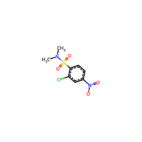 CN(C)S(=O)(=O)c1ccc([N+](=O)[O-])cc1Cl